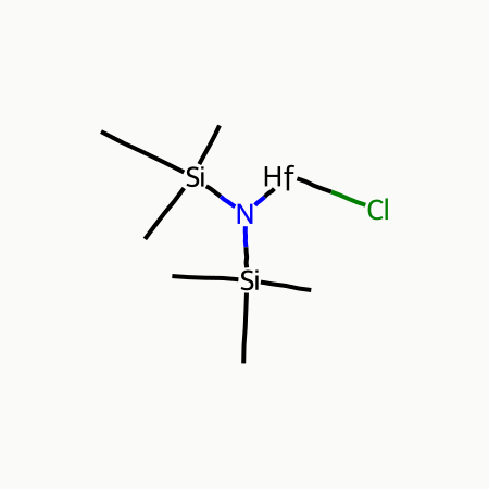 C[Si](C)(C)[N]([Hf][Cl])[Si](C)(C)C